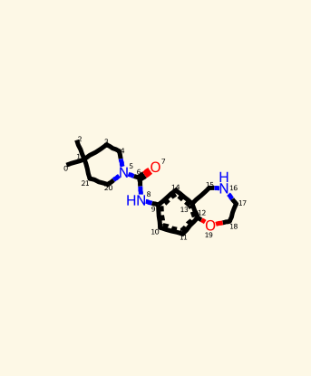 CC1(C)CCN(C(=O)Nc2ccc3c(c2)CNCCO3)CC1